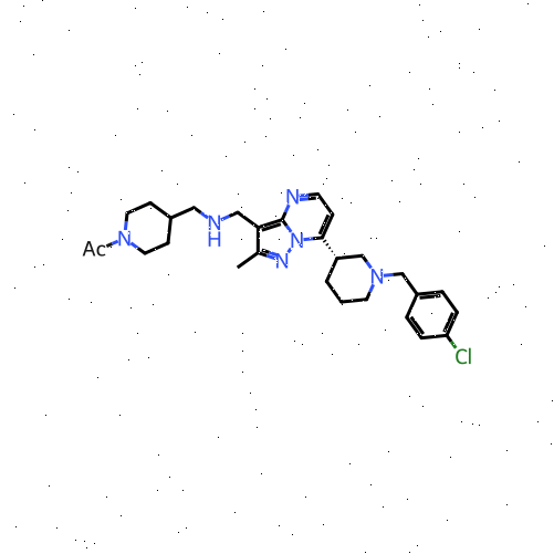 CC(=O)N1CCC(CNCc2c(C)nn3c([C@H]4CCCN(Cc5ccc(Cl)cc5)C4)ccnc23)CC1